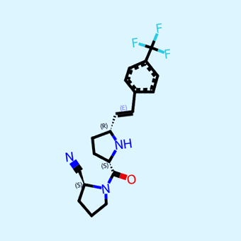 N#C[C@@H]1CCCN1C(=O)[C@@H]1CC[C@H](/C=C/c2ccc(C(F)(F)F)cc2)N1